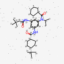 CC(C)N(C(=O)C1CCCCC1)c1cc(NC(=O)CC(C)(C)C)cc(NC(=O)[C@H]2CC[C@@H](C(C)(C)C)CC2)c1